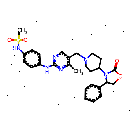 Cc1nc(Nc2ccc(NS(C)(=O)=O)cc2)ncc1CN1CCC(N2C(=O)OCC2c2ccccc2)CC1